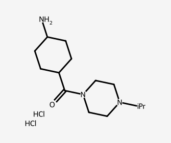 CC(C)N1CCN(C(=O)C2CCC(N)CC2)CC1.Cl.Cl